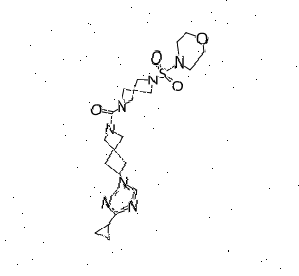 O=C(N1CC2(CC(n3cnc(C4CC4)n3)C2)C1)N1CC2(C1)CN(S(=O)(=O)N1CCOCC1)C2